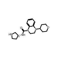 O=C(N[C@@H]1CCNC1)N1CCN(C2CCOCC2)c2ccccc21